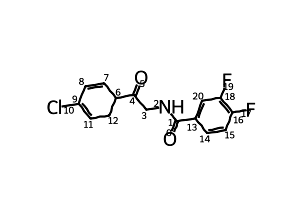 O=C(NCC(=O)C1C=CC(Cl)=CC1)c1ccc(F)c(F)c1